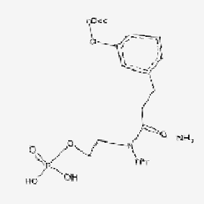 CCCCCCCCCCOc1cccc(CCC(=O)N(CCC)CCOP(=O)(O)O)c1.N